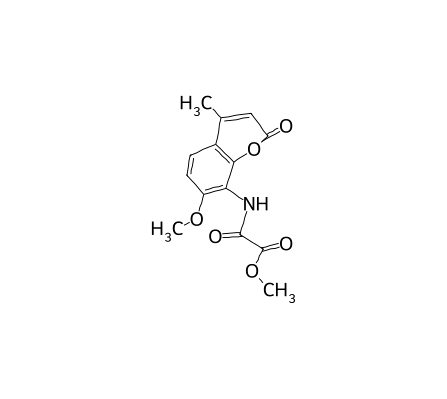 COC(=O)C(=O)Nc1c(OC)ccc2c(C)cc(=O)oc12